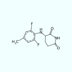 Cc1cc(F)c(NC2CCC(=O)NC2=O)c(F)c1